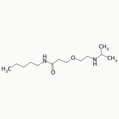 CCCCCNC(=O)CCOCCNC(C)C